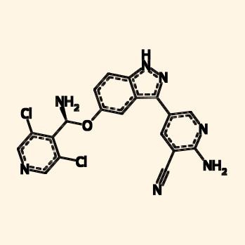 N#Cc1cc(-c2n[nH]c3ccc(O[C@H](N)c4c(Cl)cncc4Cl)cc23)cnc1N